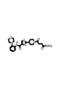 CNC(=O)CCC(=O)N1CCC(c2nc(C(=O)Nc3ccccc3N3CCOCC3)cs2)CC1